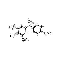 COc1ccc(C(C)c2cc(C)c(C)c(OC)c2)cn1